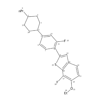 CCCC1CCC(c2ccc(-c3cc4ccc(OCC)c(F)c4s3)c(F)c2)CC1